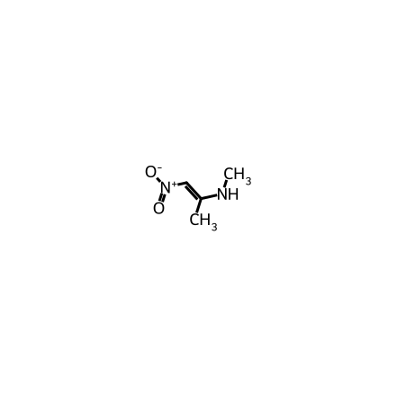 CNC(C)=C[N+](=O)[O-]